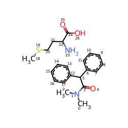 CN(C)C(=O)C(c1ccccc1)c1ccccc1.CSCCC(N)C(=O)O